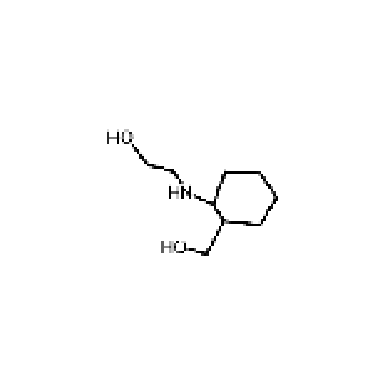 OCCNC1CCCCC1CO